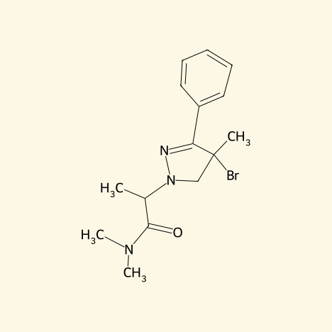 CC(C(=O)N(C)C)N1CC(C)(Br)C(c2ccccc2)=N1